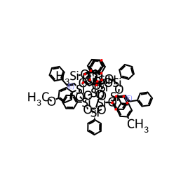 COc1ccc([Si]2(/C=C/c3ccccc3)O[Si](O[SiH3])(c3ccccc3)O[Si@]3(c4ccccc4)O[Si]4(c5ccccc5)O[SiH](c5ccccc5)O[Si]5(c6ccccc6)O[Si](c6ccccc6)(O2)O[Si@@](c2ccccc2)(O[Si](c2ccccc2)(O[Si](/C=C/c2ccccc2)(c2ccc(C)cc2)O4)O5)O3)cc1